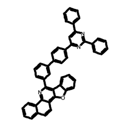 c1ccc(-c2cc(-c3ccc(-c4cccc(-c5nc6c7ccccc7ccc6c6oc7ccccc7c56)c4)cc3)nc(-c3ccccc3)n2)cc1